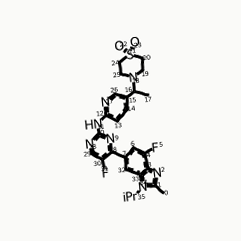 Cc1nc2c(F)cc(-c3nc(Nc4ccc(C(C)N5CCS(=O)(=O)CC5)cn4)ncc3F)cc2n1C(C)C